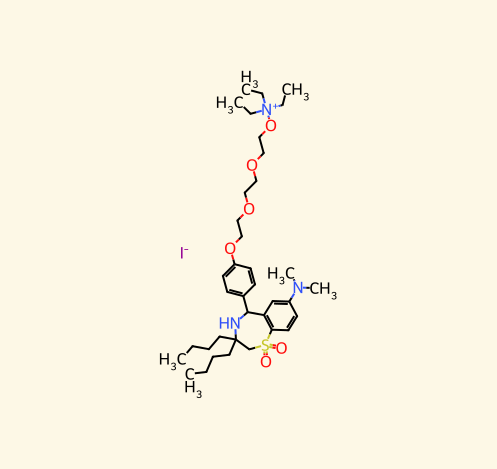 CCCCC1(CCCC)CS(=O)(=O)c2ccc(N(C)C)cc2C(c2ccc(OCCOCCOCCO[N+](CC)(CC)CC)cc2)N1.[I-]